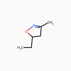 CCC1CC(C)=NO1